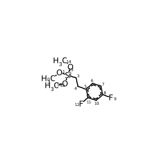 CO[Si](CCc1ccc(F)cc1F)(OC)OC